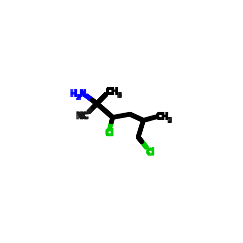 CC(CCl)CC(Cl)C(C)(N)C#N